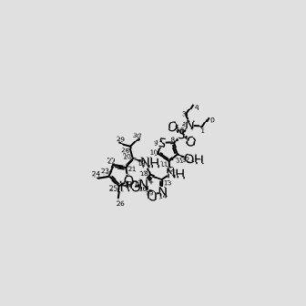 CCN(CC)S(=O)(=O)c1scc(Nc2no[n+](O)c2N[C@@H](c2cc(C)c(C)o2)C(C)C)c1O